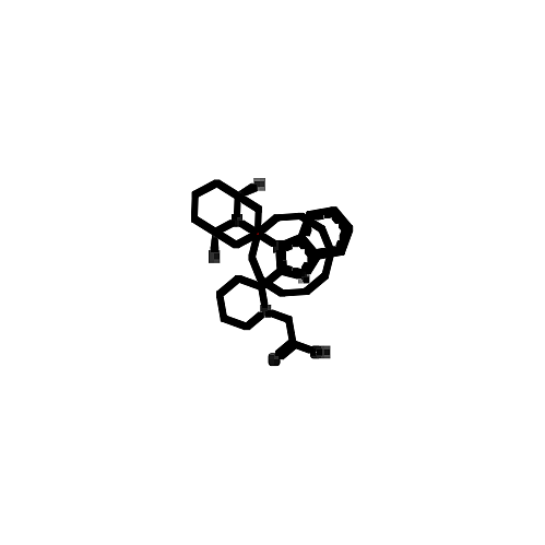 O=C(O)CN1CCCCC1c1nc2ccccc2n1C1C[C@H]2CCC[C@@H](C1)N2C1CCCCCCCCC1